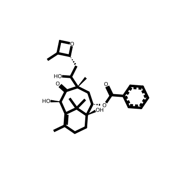 CC1=C2[C@@H](O)C(=O)[C@](C)(C(O)C[C@H]3OCC3C)C[C@H](OC(=O)c3ccccc3)[C@](O)(CC1)C2(C)C